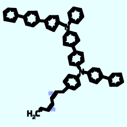 C=C/C=C\C=C/Cc1ccc(N(c2ccc(-c3ccccc3)cc2)c2ccc(-c3ccc(N(c4ccccc4)c4ccc(-c5ccc(-c6ccccc6)cc5)cc4)cc3)cc2)cc1